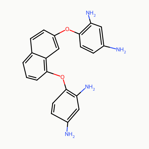 Nc1ccc(Oc2ccc3cccc(Oc4ccc(N)cc4N)c3c2)c(N)c1